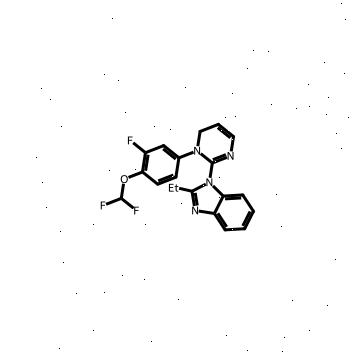 CCc1nc2ccccc2n1C1=NC=CCN1c1ccc(OC(F)F)c(F)c1